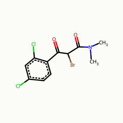 CN(C)C(=O)C(Br)C(=O)c1ccc(Cl)cc1Cl